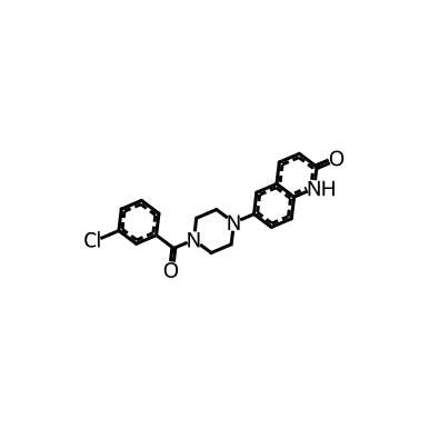 O=C(c1cccc(Cl)c1)N1CCN(c2ccc3[nH]c(=O)ccc3c2)CC1